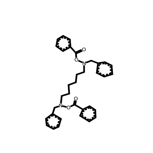 O=C(ON(CCCCCCN(Cc1ccccc1)OC(=O)c1ccccc1)Cc1ccccc1)c1ccccc1